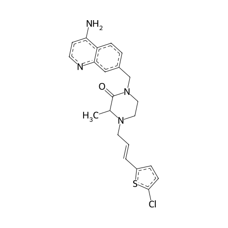 CC1C(=O)N(Cc2ccc3c(N)ccnc3c2)CCN1CC=Cc1ccc(Cl)s1